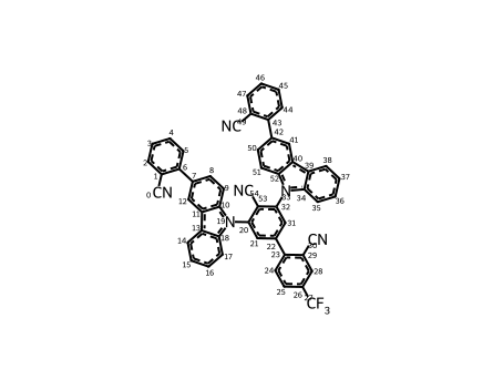 N#Cc1ccccc1-c1ccc2c(c1)c1ccccc1n2-c1cc(-c2ccc(C(F)(F)F)cc2C#N)cc(-n2c3ccccc3c3cc(-c4ccccc4C#N)ccc32)c1C#N